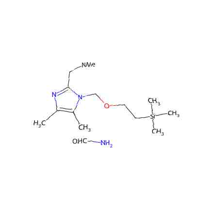 CNCc1nc(C)c(C)n1COCC[Si](C)(C)C.NC=O